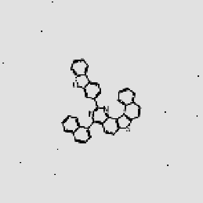 c1ccc2c(-c3nc(-c4ccc5c(c4)oc4ccccc45)nc4c3ccc3sc5ccc6ccccc6c5c34)cccc2c1